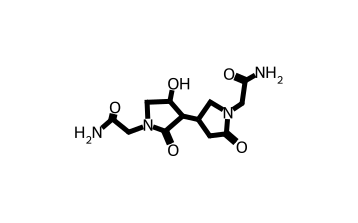 NC(=O)CN1CC(C2C(=O)N(CC(N)=O)CC2O)CC1=O